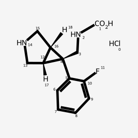 Cl.O=C(O)NC[C@@]1(c2ccccc2F)[C@@H]2CNC[C@@H]21